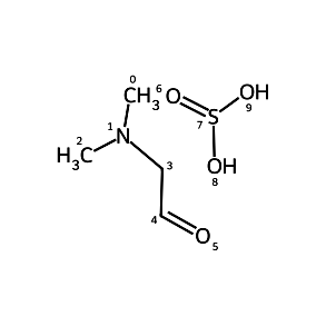 CN(C)CC=O.O=S(O)O